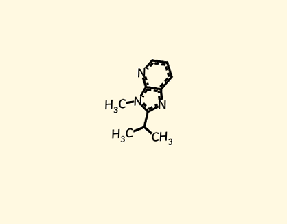 CC(C)c1nc2cccnc2n1C